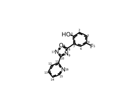 Oc1ccc(F)cc1-c1nc(-c2ccccn2)no1